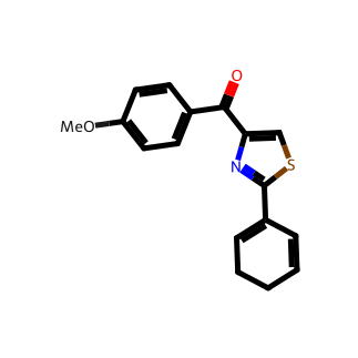 COc1ccc(C(=O)c2csc(C3=CCCC=C3)n2)cc1